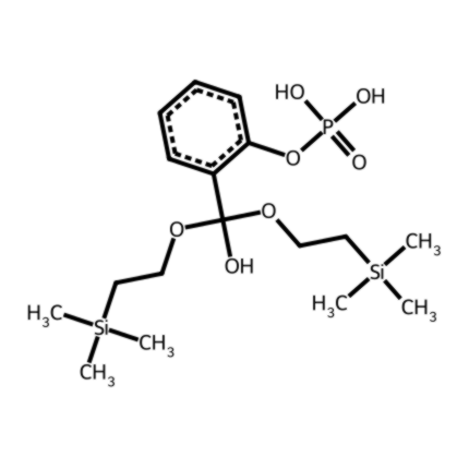 C[Si](C)(C)CCOC(O)(OCC[Si](C)(C)C)c1ccccc1OP(=O)(O)O